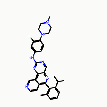 Cc1cccc(C(C)C)c1-c1nc2cnc(Nc3ccc(N4CCN(C)CC4)c(F)c3)nc2c2cnccc12